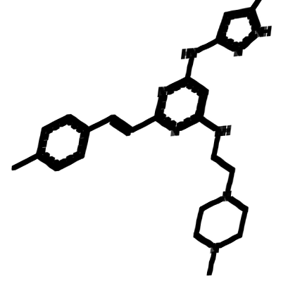 Cc1ccc(/C=C/c2nc(NCCN3CCN(C)CC3)cc(Nc3cc(C)[nH]n3)n2)cc1